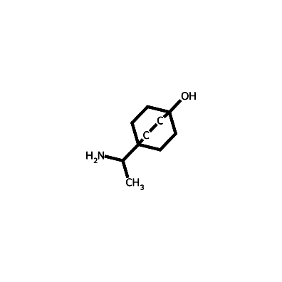 CC(N)C12CCC(O)(CC1)CC2